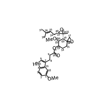 COc1ccc2[nH]cc(CCC(=O)O[C@@H]3CC[C@]4(CO4)[C@@H](C4(C)O[C@@H]4CC=C(C)C)[C@@H]3OC)c2c1